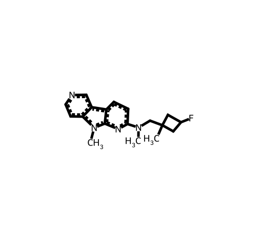 CN(CC1(C)CC(F)C1)c1ccc2c3cnccc3n(C)c2n1